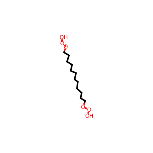 OOOCCCCCCCCCCCCOOO